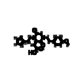 COc1ccc(CCN2CC(=O)N(CCc3cccs3)C(CC(=O)O)C2=O)cc1